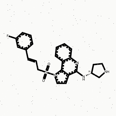 O=S(=O)(CC=Cc1cccc(F)c1)n1ccc2c(N[C@@H]3CCNC3)nc3ccccc3c21